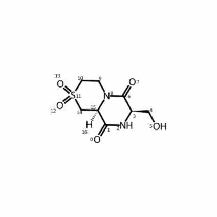 O=C1N[C@H](CO)C(=O)N2CCS(=O)(=O)C[C@H]12